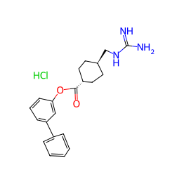 Cl.N=C(N)NC[C@H]1CC[C@H](C(=O)Oc2cccc(-c3ccccc3)c2)CC1